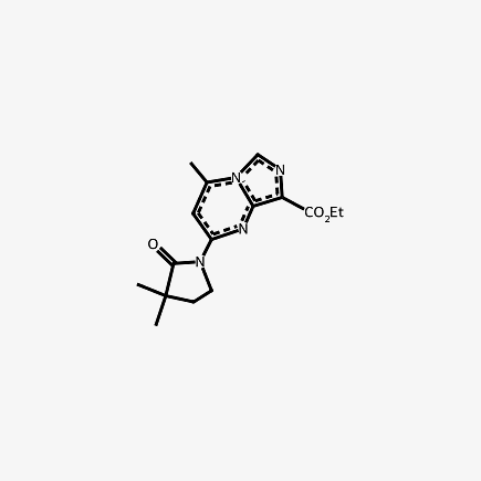 CCOC(=O)c1ncn2c(C)cc(N3CCC(C)(C)C3=O)nc12